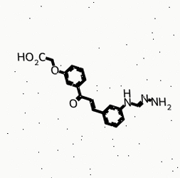 NN=CNc1cccc(C=CC(=O)c2cccc(OCC(=O)O)c2)c1